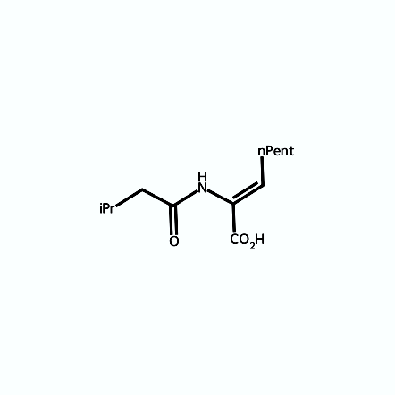 CCCCCC=C(NC(=O)CC(C)C)C(=O)O